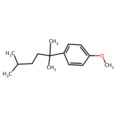 COc1ccc(C(C)(C)CCC(C)C)cc1